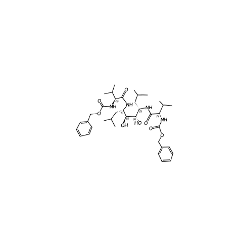 CC(C)C[C@H](NC(=O)[C@@H](NC(=O)OCc1ccccc1)C(C)C)[C@H](O)[C@@H](O)[C@H](CC(C)C)NC(=O)[C@@H](NC(=O)OCc1ccccc1)C(C)C